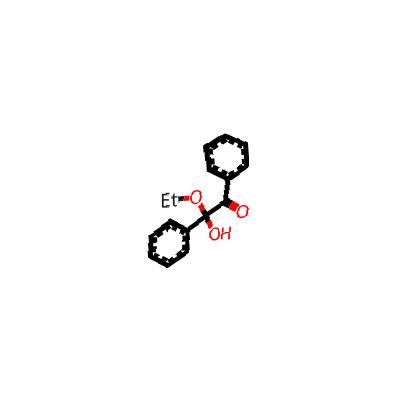 CCOC(O)(C(=O)c1ccccc1)c1ccccc1